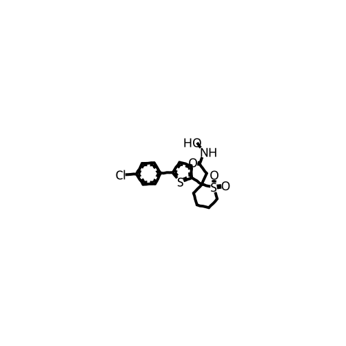 O=C(CC1(c2ccc(-c3ccc(Cl)cc3)s2)CCCCS1(=O)=O)NO